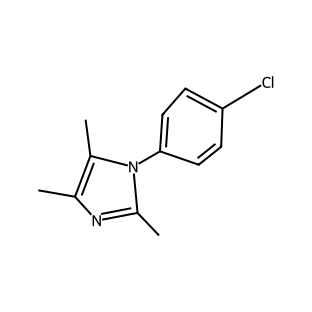 Cc1nc(C)n(-c2ccc(Cl)cc2)c1C